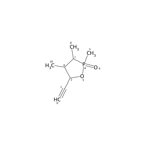 C#CC1OP(C)(=O)C(C)C1C